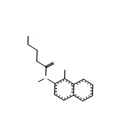 O=C(O)CCCC(=O)N(O)c1ccc2ccccc2c1O